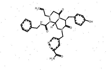 C=CCN1CC(=O)N2[C@@H](Cc3ccc(O)cc3)C(=O)N(Cc3cncc(C(N)=O)c3)C[C@@H]2N1C(=O)NCc1ccccc1